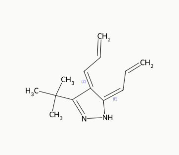 C=C/C=c1/c(C(C)(C)C)n[nH]/c1=C/C=C